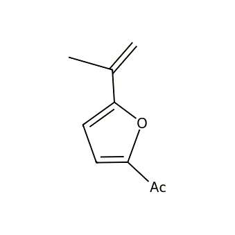 C=C(C)c1ccc(C(C)=O)o1